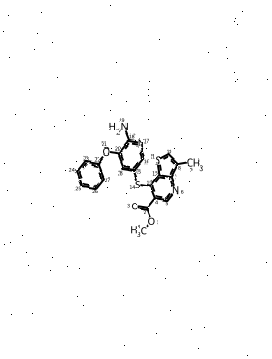 COC(=O)c1cnc2c(C)csc2c1Sc1cnc(N)c(Oc2ccccc2)c1